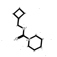 O=C(OCC1CCC1)N1CCCCC1